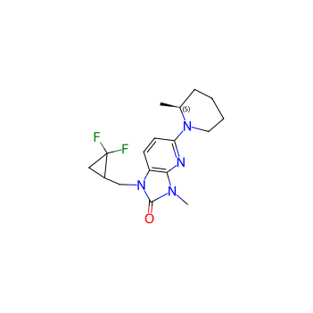 C[C@H]1CCCCN1c1ccc2c(n1)n(C)c(=O)n2CC1CC1(F)F